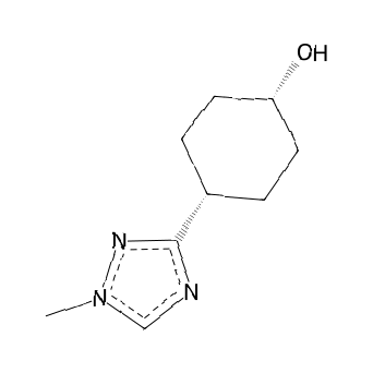 Cn1cnc([C@H]2CC[C@@H](O)CC2)n1